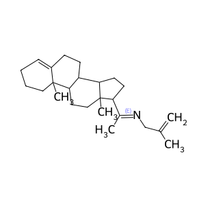 C=C(C)C/N=C(\C)C1CCC2C3CCC4=CCCCC4(C)C3CCC12C